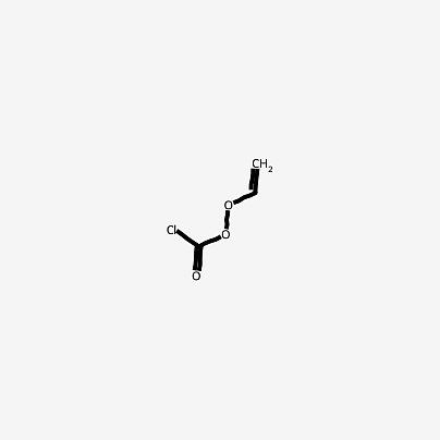 C=COOC(=O)Cl